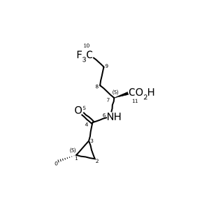 C[C@H]1CC1C(=O)N[C@@H](CCC(F)(F)F)C(=O)O